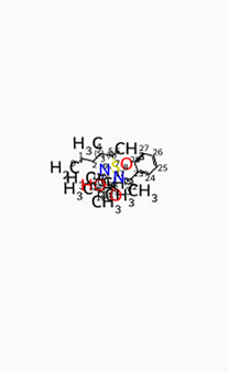 C=CC[C@H](C)[C@@H](C)S(=O)(=N[Si](C)(C)C(C)(C)C)N(C(=O)O)[C@@H](C)c1ccccc1